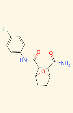 NC(=O)C1C2CCC(O2)C1C(=O)Nc1ccc(Cl)cc1